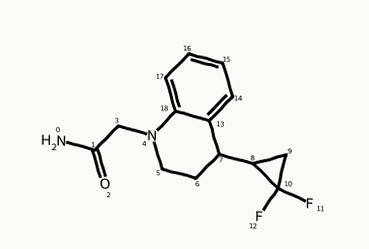 NC(=O)CN1CCC(C2CC2(F)F)c2ccccc21